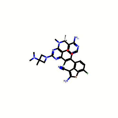 C[C@H](c1cncnc1N)N(C)c1nc(N2CC(C)(N(C)C)C2)nc2c(F)c(-c3ccc(F)c4sc(N)c(C#N)c34)c(Cl)cc12